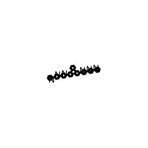 c1ccc(-c2ccc(-c3ccc(-c4ccc5c6ccc(-c7ccc(-c8ccc(-c9ccccn9)cn8)cn7)cc6c6ccccc6c5c4)nc3)nc2)nc1